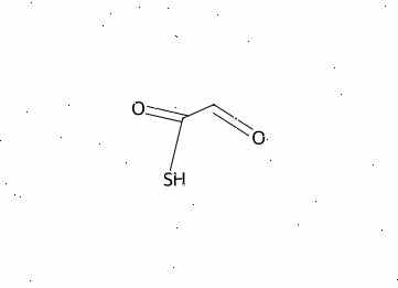 O=CC(=O)S